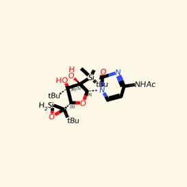 CC(=O)Nc1ccn([C@@H]2O[C@H](C3(C(C)(C)C)O[SiH2]3)[C@](O)(C(C)(C)C)[C@]2(O)[Si](C)(C)C(C)(C)C)c(=O)n1